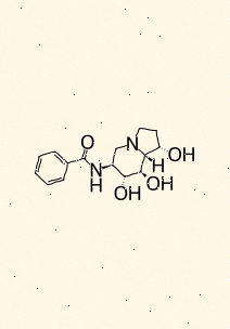 O=C(N[C@H]1CN2CC[C@H](O)[C@@H]2[C@@H](O)[C@@H]1O)c1ccccc1